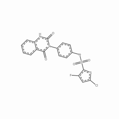 O=c1[nH]c2ccccc2c(=O)n1-c1ccc([N]S(=O)(=O)c2sc(Cl)cc2F)cc1